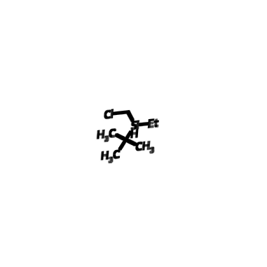 CC[SiH](CCl)C(C)(C)C